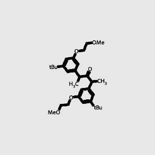 COCCOc1cc(C(C)C(=O)C(C)c2cc(OCCOC)cc(C(C)(C)C)c2)cc(C(C)(C)C)c1